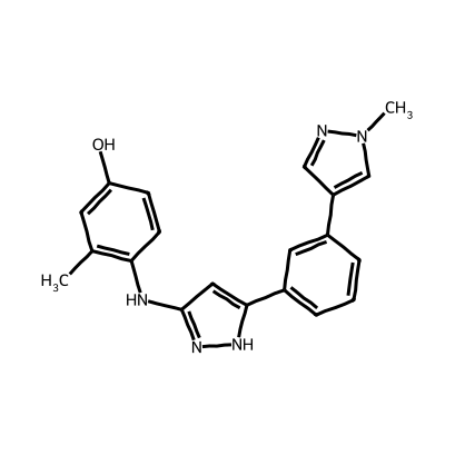 Cc1cc(O)ccc1Nc1cc(-c2cccc(-c3cnn(C)c3)c2)[nH]n1